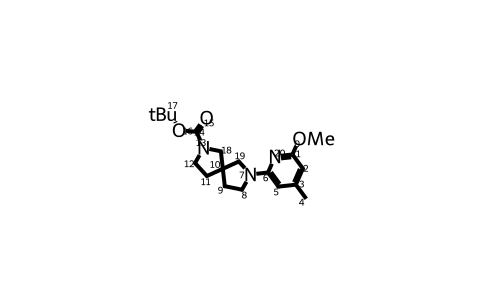 COc1cc(C)cc(N2CCC3(CCN(C(=O)OC(C)(C)C)C3)C2)n1